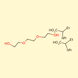 CCCC(CC)C(=O)O.CCCC(CC)C(=O)O.OCCOCCOCCO